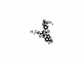 CCOC(=O)c1cn(-c2ccc3c(c2)oc(=O)n3C)c(=O)n(C2CCc3c2cccc3C(F)(F)F)c1=O